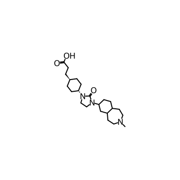 CN1CCC2CCC(N3CCN([C@H]4CC[C@H](CCC(=O)O)CC4)C3=O)CC2CC1